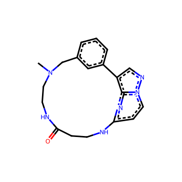 CN1CCNC(=O)CCNc2ccn3ncc(c3n2)-c2cccc(c2)C1